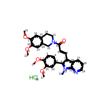 COc1ccc(-c2c(/C=C/C(=O)N3CCc4cc(OC)c(OC)cc4C3)c3cccnc3n2C)cc1OC.Cl